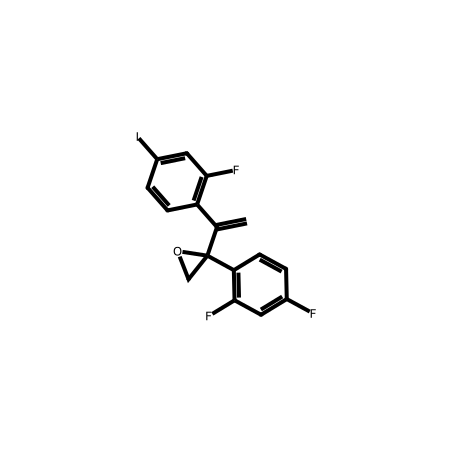 C=C(c1ccc(I)cc1F)C1(c2ccc(F)cc2F)CO1